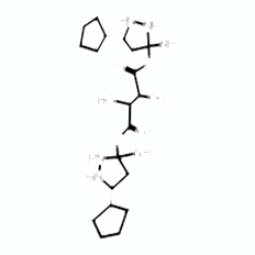 NC1(OC(=O)C(O)C(O)C(=O)OC2(N)C[C@H](C3CCCC3)NN2)C[C@H](C2CCCC2)NN1